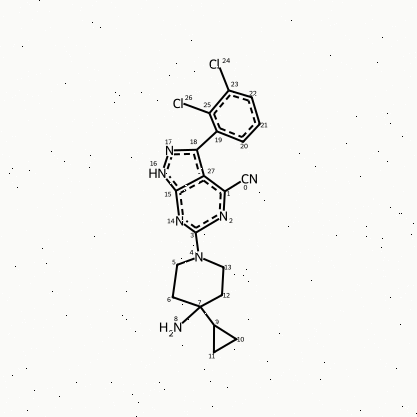 N#Cc1nc(N2CCC(N)(C3CC3)CC2)nc2[nH]nc(-c3cccc(Cl)c3Cl)c12